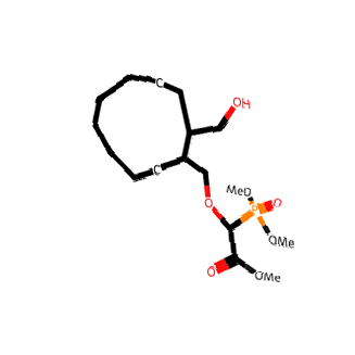 COC(=O)C(OCC1CCCCCCCCC1CO)P(=O)(OC)OC